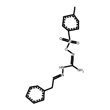 Cc1ccc(S(=O)(=O)ON=C(N)NN=CCc2ccccc2)cc1